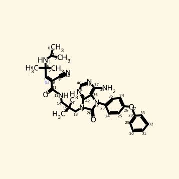 CC(C)NC(C)(C)/C=C(\C#N)C(=O)NCC(C)(C)Cn1c(=O)n(-c2ccc(Oc3ccccc3)cc2)c2c(N)ncnc21